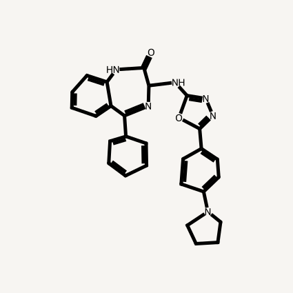 O=C1Nc2ccccc2C(c2ccccc2)=NC1Nc1nnc(-c2ccc(N3CCCC3)cc2)o1